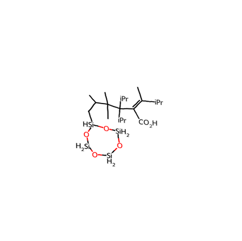 CC(=C(C(=O)O)C(C(C)C)(C(C)C)C(C)(C)C(C)C[SiH]1O[SiH2]O[SiH2]O[SiH2]O1)C(C)C